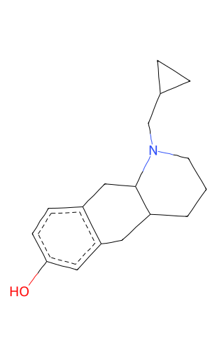 Oc1ccc2c(c1)CC1CCCN(CC3CC3)C1C2